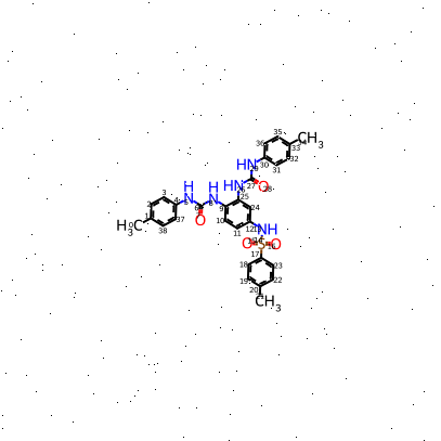 Cc1ccc(NC(=O)Nc2ccc(NS(=O)(=O)c3ccc(C)cc3)cc2NC(=O)Nc2ccc(C)cc2)cc1